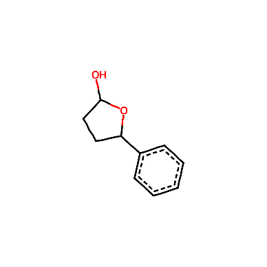 OC1CCC(c2ccccc2)O1